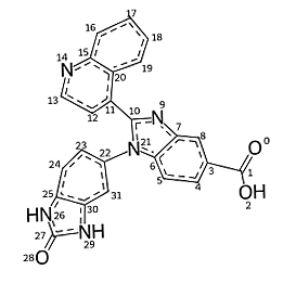 O=C(O)c1ccc2c(c1)nc(-c1ccnc3ccccc13)n2-c1ccc2[nH]c(=O)[nH]c2c1